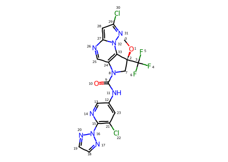 CO[C@@]1(C(F)(F)F)CN(C(=O)Nc2cnc(-n3nccn3)c(Cl)c2)c2cnc3cc(Cl)nn3c21